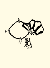 Cl.Cl.Cl.[CH3][Ti]([CH3])([CH3])([c]1ccccc1)([c]1ccccc1)([c]1ccccc1)([c]1ccccc1)[N]1CCCNCCCNCCCNCCC1